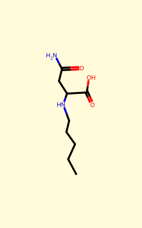 CCCCCNC(CC(N)=O)C(=O)O